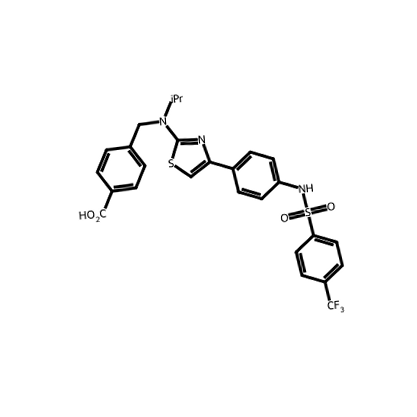 CC(C)N(Cc1ccc(C(=O)O)cc1)c1nc(-c2ccc(NS(=O)(=O)c3ccc(C(F)(F)F)cc3)cc2)cs1